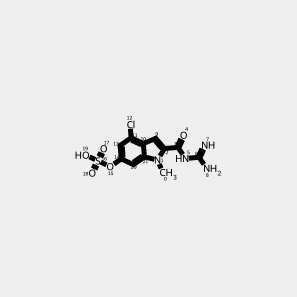 Cn1c(C(=O)NC(=N)N)cc2c(Cl)cc(OS(=O)(=O)O)cc21